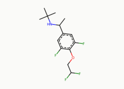 CC(NC(C)(C)C)c1cc(F)c(OCC(F)F)c(F)c1